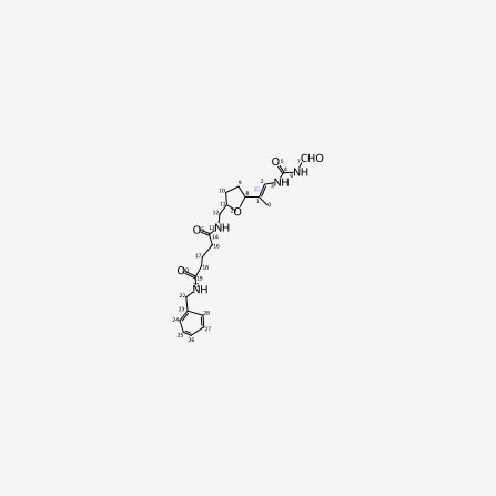 C/C(=C\NC(=O)NC=O)C1CCC(CNC(=O)CCCC(=O)NCc2ccccc2)O1